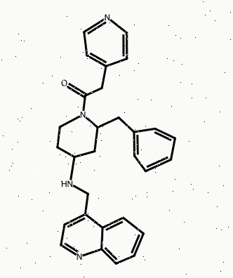 O=C(Cc1ccncc1)N1CCC(NCc2ccnc3ccccc23)CC1Cc1ccccc1